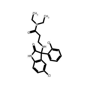 CCN(CC)C(=O)CCNC1(c2ccccc2Cl)C(=O)Nc2ccc(Cl)cc21